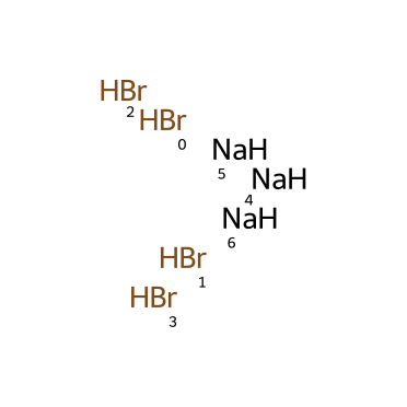 Br.Br.Br.Br.[NaH].[NaH].[NaH]